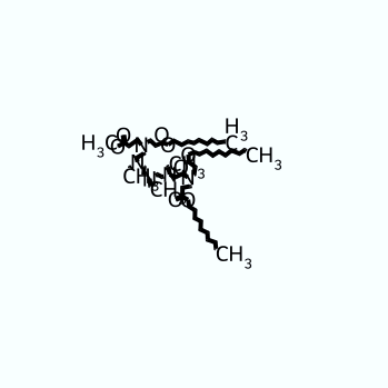 CCCCCCCCCCOC(=O)CCN(CCC(=O)OC)CCN(CC)CCN(CC)CCN(CC)CCN(CCC(=O)OCCCCCCCCCC)CCC(=O)OCCCCCCCCCC